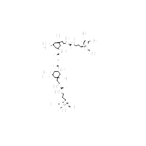 CCO[Si](CCCNC(=O)NCCC1(C)CC(NC(=O)OCOC(=O)NC2CC(C)(C)CC(C)(CCNC(=O)NCCC[Si](OCC)(OCC)OCC)C2)CC(C)(C)C1)(OCC)OCC